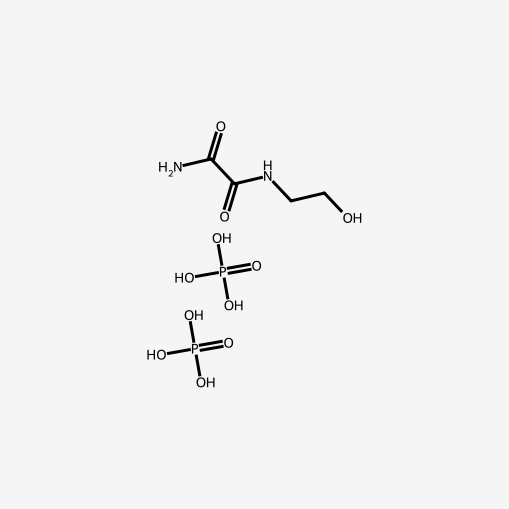 NC(=O)C(=O)NCCO.O=P(O)(O)O.O=P(O)(O)O